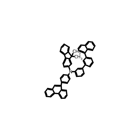 CC1(C)c2ccccc2-c2ccc(N(c3ccc(-c4cc5ccccc5c5ccccc45)cc3)c3cccc(-c4cccc(-c5cccc6ccccc56)c4)c3)cc21